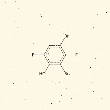 Oc1c(F)cc(Br)c(F)c1Br